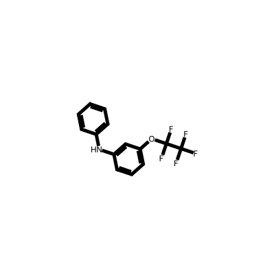 FC(F)(F)C(F)(F)Oc1cccc(Nc2cc[c]cc2)c1